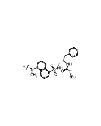 CN(C)c1cccc2c(S(=O)(=O)NC[C@H](Cc3ccccc3)NC(=O)OC(C)(C)C)cccc12